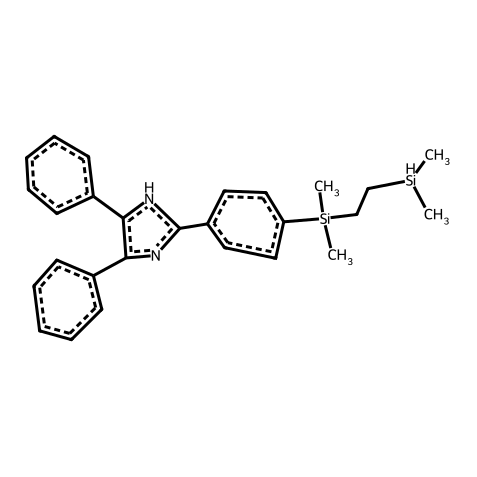 C[SiH](C)CC[Si](C)(C)c1ccc(-c2nc(-c3ccccc3)c(-c3ccccc3)[nH]2)cc1